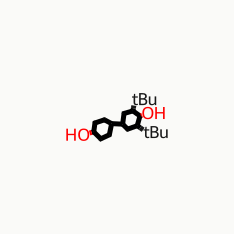 CC(C)(C)C1CC(C2CCC(O)CC2)CC(C(C)(C)C)C1O